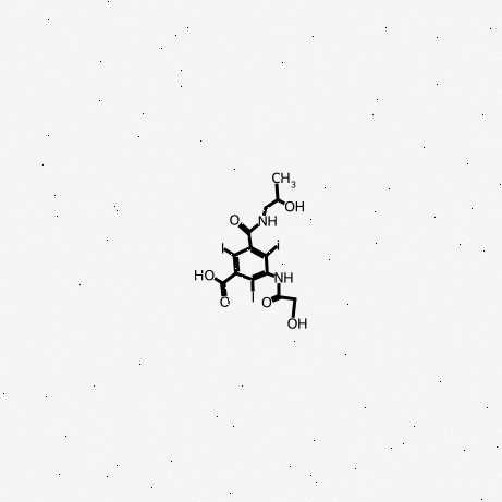 CC(O)CNC(=O)c1c(I)c(NC(=O)CO)c(I)c(C(=O)O)c1I